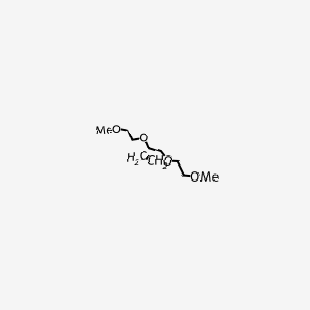 C=C.COCCOCCOCCOC